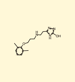 Cc1c[c]cc(C)c1OCCCNCCc1nnc(O)[nH]1